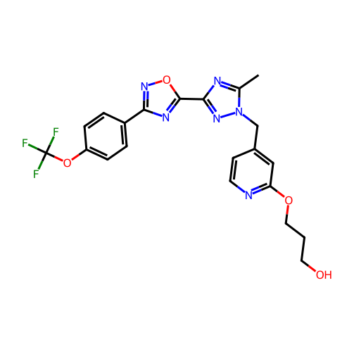 Cc1nc(-c2nc(-c3ccc(OC(F)(F)F)cc3)no2)nn1Cc1ccnc(OCCCO)c1